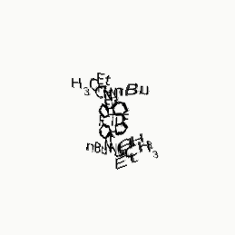 CCCCN(NCC(C)(C)CC)c1ccc(F)[c]([Ti]([c]2c(F)ccc(N(CCCC)NCC(C)(C)CC)c2F)([CH]2C=CC=C2)[CH]2C=CC=C2)c1F